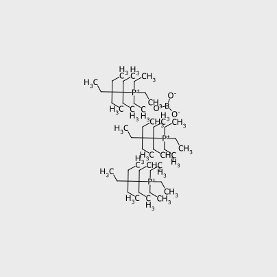 CCC(CC)(CC)C(CC)(CC)[P+](CC)(CC)CC.CCC(CC)(CC)C(CC)(CC)[P+](CC)(CC)CC.CCC(CC)(CC)C(CC)(CC)[P+](CC)(CC)CC.[O-]B([O-])[O-]